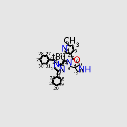 Cc1ccc(C(=O)N(CC2CNC2)[C@@H](c2nc(-c3ccccc3)cn2Cc2ccccc2)C(C)(C)C)cn1